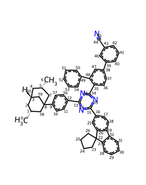 C[C@@H]1C[C@@H]2C[C@H](C)CC(c3ccc(-c4nc(-c5ccc6c(c5)C5(CCCC5)c5ccccc5-6)nc(-c5ccc(-c6cccc(C#N)c6)cc5-c5ccccc5)n4)cc3)(C1)C2